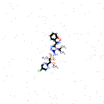 CO[C@H](c1ncc(Cl)cn1)[C@H](C)S(=O)(=O)Nc1nnc(-c2noc3ccccc23)n1C(C)C